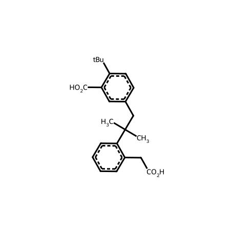 CC(C)(C)c1ccc(CC(C)(C)c2ccccc2CC(=O)O)cc1C(=O)O